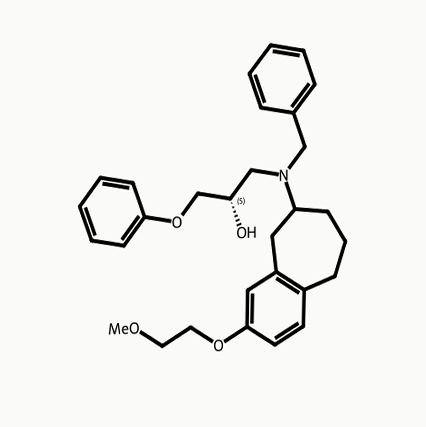 COCCOc1ccc2c(c1)CC(N(Cc1ccccc1)C[C@H](O)COc1ccccc1)CCC2